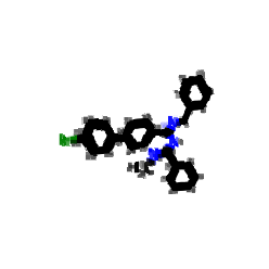 C=N/C(=N\C(=N/Cc1ccccc1)c1ccc(-c2ccc(Br)cc2)cc1)c1ccccc1